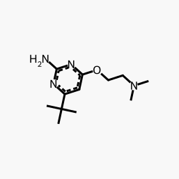 CN(C)CCOc1cc(C(C)(C)C)nc(N)n1